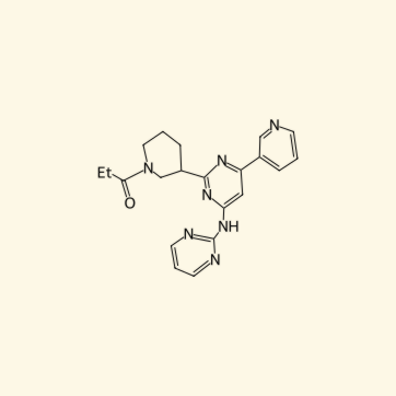 CCC(=O)N1CCCC(c2nc(Nc3ncccn3)cc(-c3cccnc3)n2)C1